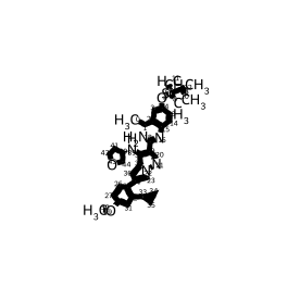 CCc1cc(O[Si](C)(C)C(C)(C)C)ccc1/N=C(\N)c1cnn2cc(-c3ccc(OC)cc3C3CC3)cc2c1N[C@H]1CCOC1